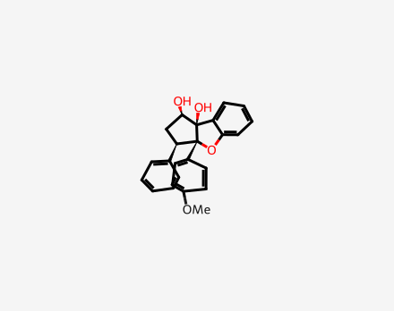 COc1ccc([C@]23Oc4ccccc4[C@@]2(O)[C@H](O)C[C@@H]3c2ccccc2)cc1